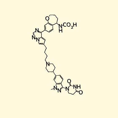 Cn1nc(N2CCC(=O)NC2=O)c2ccc(C3CCN(CCCCc4cc5c(-c6ccc7c(c6)OCCCC7NC(=O)O)ncnn5c4)CC3)cc21